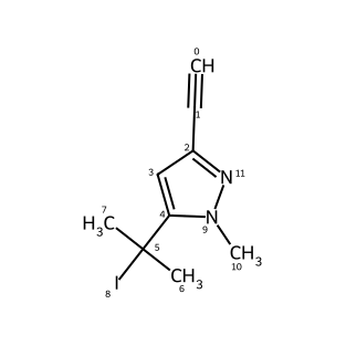 C#Cc1cc(C(C)(C)I)n(C)n1